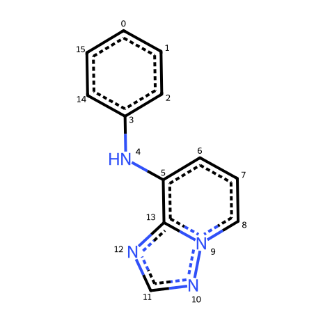 c1ccc(Nc2cccn3ncnc23)cc1